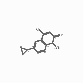 N#CC1C(=O)C=C(Cl)c2cc(C3CC3)ccc21